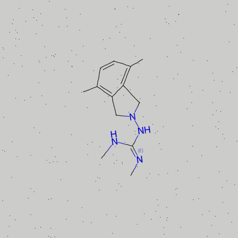 C/N=C(\NC)NN1Cc2c(C)ccc(C)c2C1